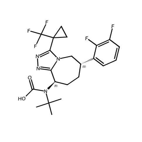 CC(C)(C)N(C(=O)O)[C@@H]1CC[C@@H](c2cccc(F)c2F)Cn2c1nnc2C1(C(F)(F)F)CC1